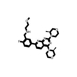 COCCNCc1cc(-c2ccc3c(N4CCOC[C@@H]4C)nc(N4CCOC[C@@H]4C)nc3n2)ccc1F